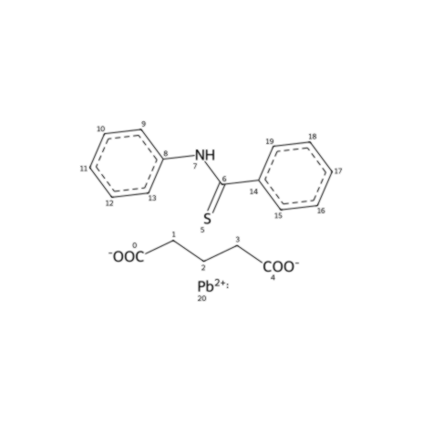 O=C([O-])CCCC(=O)[O-].S=C(Nc1ccccc1)c1ccccc1.[Pb+2]